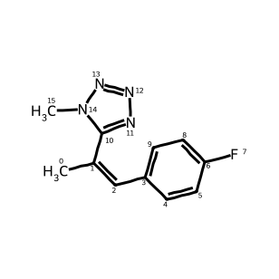 CC(=Cc1ccc(F)cc1)c1nnnn1C